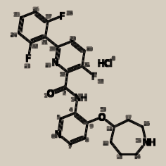 Cl.O=C(Nc1cnccc1OC1CCCNCC1)c1nc(-c2c(F)cccc2F)ccc1F